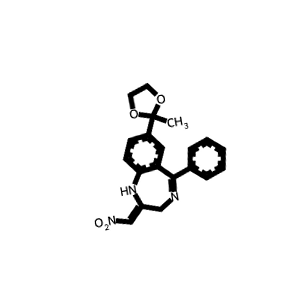 CC1(c2ccc3c(c2)C(c2ccccc2)=NC/C(=C/[N+](=O)[O-])N3)OCCO1